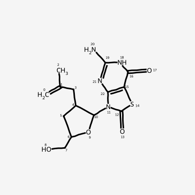 C=C(C)CC1CC(CO)OC1n1c(=O)sc2c(=O)[nH]c(N)nc21